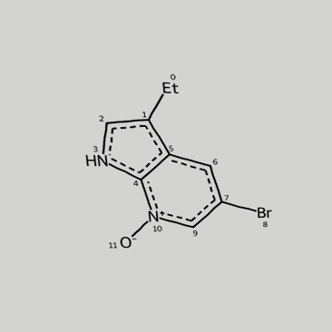 CCc1c[nH]c2c1cc(Br)c[n+]2[O-]